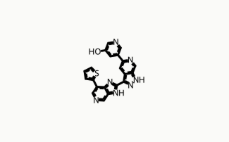 Oc1cncc(-c2cc3c(-c4nc5c(-c6cccs6)cncc5[nH]4)n[nH]c3cn2)c1